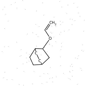 C=COC1CC2CCC1CC2